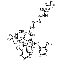 COc1ccccc1CN1C(=O)C(N)(c2ccccc2Cl)c2c1cc(CCCCCNC(=O)OC(C)(C)C)c(Cl)c2C(=O)NC(C)(C)C